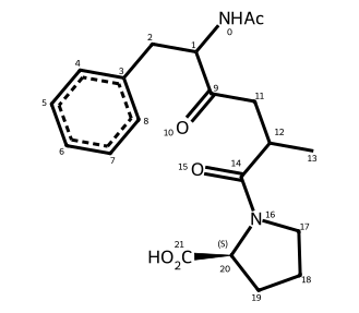 CC(=O)NC(Cc1ccccc1)C(=O)CC(C)C(=O)N1CCC[C@H]1C(=O)O